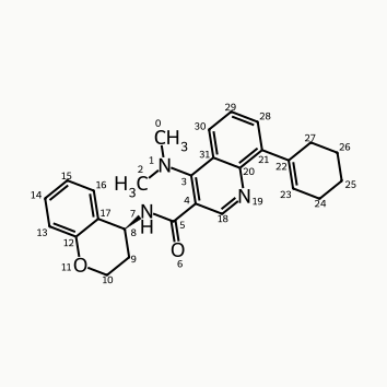 CN(C)c1c(C(=O)N[C@H]2CCOc3ccccc32)cnc2c(C3=CCCCC3)cccc12